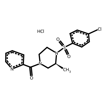 C[C@H]1CN(C(=O)c2ccccn2)CCN1S(=O)(=O)c1ccc(Cl)cc1.Cl